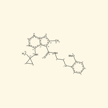 COc1ccccc1OCCNC(=O)c1c(C)oc2ncnc(NC3(C)CC3)c12